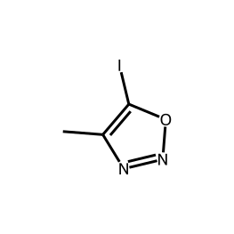 Cc1nnoc1I